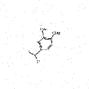 CC(=O)Oc1ccc(C(C)Br)cc1OC(C)=O